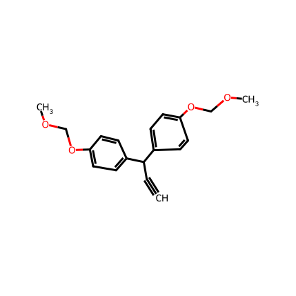 C#CC(c1ccc(OCOC)cc1)c1ccc(OCOC)cc1